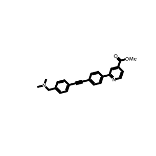 COC(=O)c1ccnc(-c2ccc(C#Cc3ccc(CN(C)C)cc3)cc2)c1